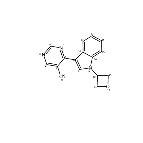 N#Cc1cncnc1-c1cn(C2COC2)c2ccccc12